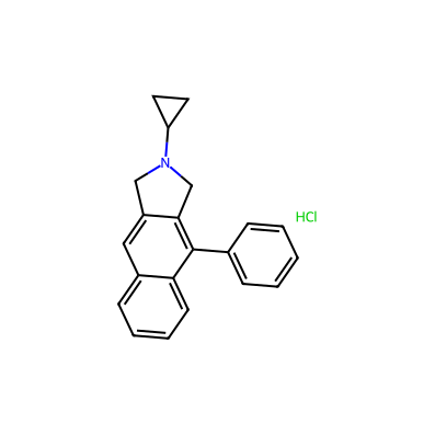 Cl.c1ccc(-c2c3c(cc4ccccc24)CN(C2CC2)C3)cc1